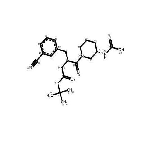 CC(C)(C)OC(=O)N[C@@H](Cc1cccc(C#N)c1)C(=O)N1CCC[C@H](NC(=O)O)C1